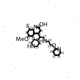 COc1cc(F)c2nc(O)cc(C(CNCCOc3ccccn3)C3CCNCC3)c2c1